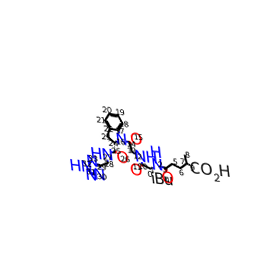 CC[C@H](C)[C@H](NC(=O)CCC(C)C(=O)O)C(=O)NCC(=O)N1c2ccccc2C[C@H]1C(=O)NCc1nn[nH]n1